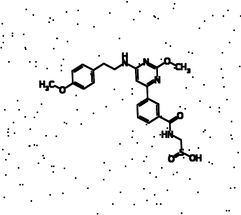 COc1ccc(CCNc2cc(-c3cccc(C(=O)NCS(=O)O)c3)nc(OC)n2)cc1